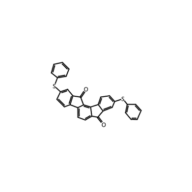 O=c1c2cc(Sc3ccccc3)ccc2c2c1ccc1c3ccc(Sc4ccccc4)cc3c(=O)c12